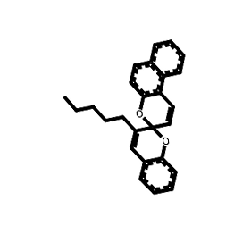 CCCCCC1=Cc2ccccc2OC12C=Cc1c(ccc3ccccc13)O2